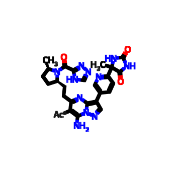 CC(=O)c1c(CC[C@H]2CC[C@@H](C)N2C(=O)c2nnc[nH]2)nc2c(-c3ccc(C4(C)NC(=O)NC4=O)nc3)cnn2c1N